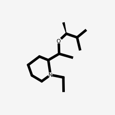 CCN1CCCCC1C(C)O[C@@H](C)C(C)C